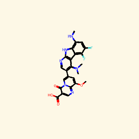 CNc1cc(F)c(F)c2c1[nH]c1ncc(-c3cc(OC)c4ncc(C(=O)O)c(=O)n4c3)c(N(C)C)c12